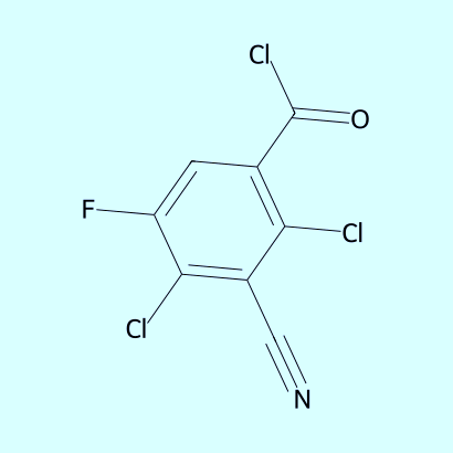 N#Cc1c(Cl)c(F)cc(C(=O)Cl)c1Cl